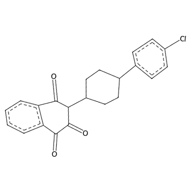 O=C1C(=O)C(C2CCC(c3ccc(Cl)cc3)CC2)C(=O)c2ccccc21